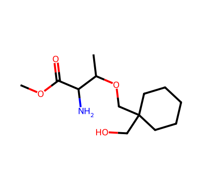 COC(=O)C(N)C(C)OCC1(CO)CCCCC1